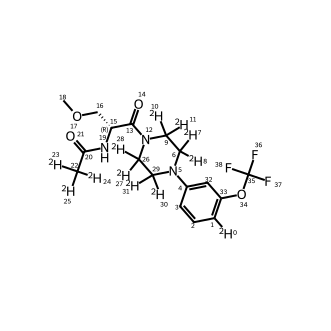 [2H]c1ccc(N2C([2H])([2H])C([2H])([2H])N(C(=O)[C@@H](COC)NC(=O)C([2H])([2H])[2H])C([2H])([2H])C2([2H])[2H])cc1OC(F)(F)F